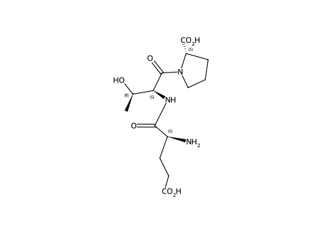 C[C@@H](O)[C@H](NC(=O)[C@@H](N)CCC(=O)O)C(=O)N1CCC[C@H]1C(=O)O